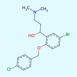 CN(C)CCC(O)c1cc(Br)ccc1OCc1ccc(Cl)cc1